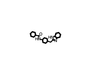 O=C(Nc1ccc(Cc2nc3ccccc3[nH]2)cc1)c1ccccc1